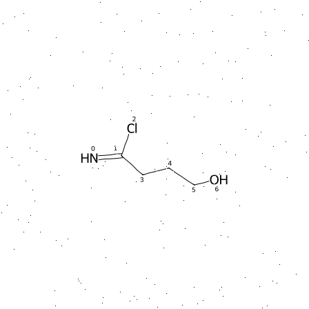 N=C(Cl)CCCO